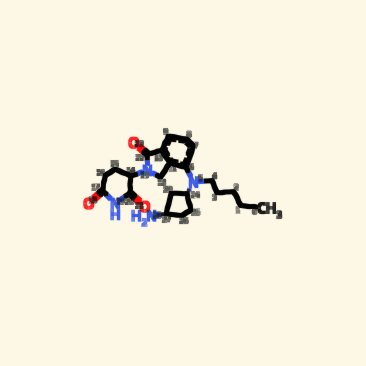 CCCCCN(c1cccc2c1CN(C1CCC(=O)NC1=O)C2=O)[C@@H]1CC[C@@H](N)C1